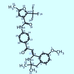 COc1ccc2c(c1)/C(=C/C(=O)c1ccc(NC(=O)c3cc(C)oc3C(F)(F)F)cc1)NC(C)(C)C2